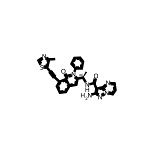 Cc1ncsc1C#Cc1cccc2cc([C@@H](C)NC(=O)c3c(N)nn4cccnc34)n(-c3ccccc3)c(=O)c12